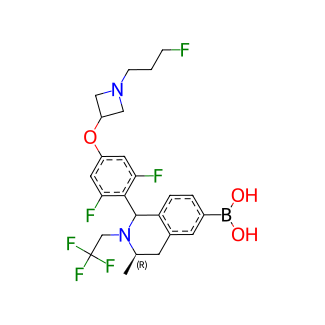 C[C@@H]1Cc2cc(B(O)O)ccc2C(c2c(F)cc(OC3CN(CCCF)C3)cc2F)N1CC(F)(F)F